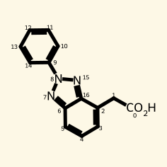 O=C(O)Cc1cccc2nn(-c3ccccc3)nc12